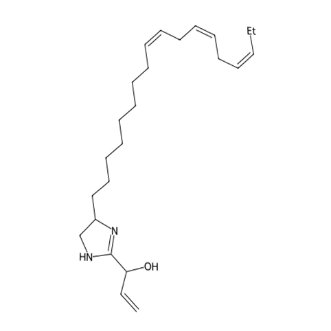 C=CC(O)C1=NC(CCCCCCCC/C=C\C/C=C\C/C=C\CC)CN1